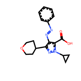 O=C(O)c1c(N=Nc2ccccc2)c(C2CCOCC2)nn1C1CC1